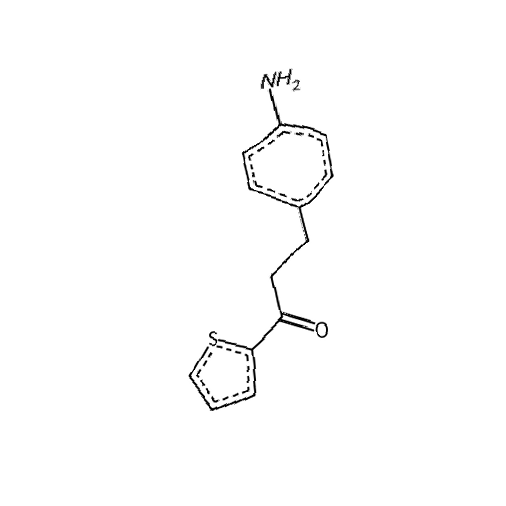 Nc1ccc(CCC(=O)c2cccs2)cc1